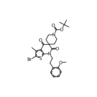 COc1ccccc1CCN1C(=O)C2(CCN(C(=O)OC(C)(C)C)CC2)C(=O)c2c1sc(Br)c2C